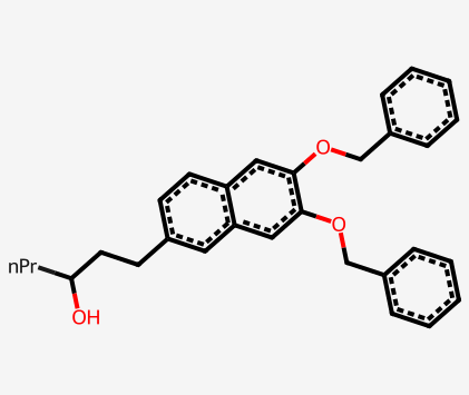 CCCC(O)CCc1ccc2cc(OCc3ccccc3)c(OCc3ccccc3)cc2c1